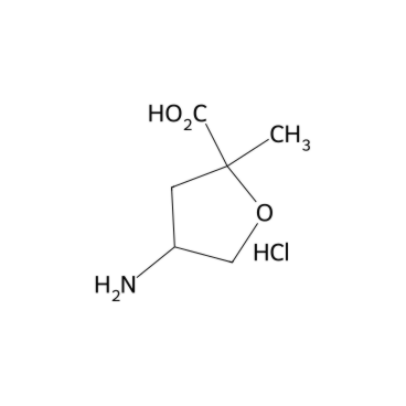 CC1(C(=O)O)CC(N)CO1.Cl